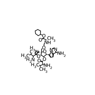 CC(C)C(N)C(=O)O[C@H]1[C@@H](OC(=O)[C@H](N)C(C)C)[C@H](c2ccc3c(N)ncnn23)O[C@]1(C#N)COCN[C@@H](C)C(=O)OC1CCCCC1